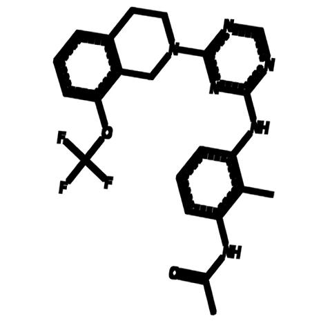 CC(=O)Nc1cccc(Nc2ncnc(N3CCc4cccc(OC(F)(F)F)c4C3)n2)c1C